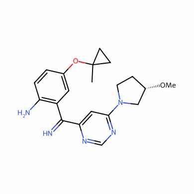 CO[C@H]1CCN(c2cc(C(=N)c3cc(OC4(C)CC4)ccc3N)ncn2)C1